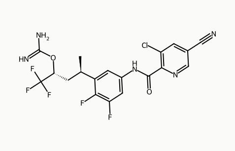 C[C@H](C[C@@H](OC(=N)N)C(F)(F)F)c1cc(NC(=O)c2ncc(C#N)cc2Cl)cc(F)c1F